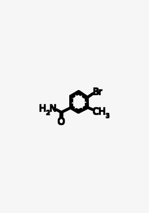 Cc1cc(C(N)=O)ccc1Br